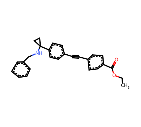 CCOC(=O)c1ccc(C#Cc2ccc(C3(NCc4ccccc4)CC3)cc2)cc1